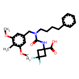 COc1cc(CN(CCCCc2ccccc2)C(=O)NC2(C(=O)O)CC(F)(F)C2)cc(OC)c1C